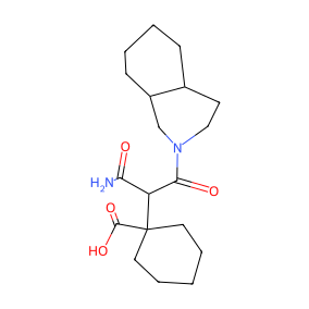 NC(=O)C(C(=O)N1CCC2CCCCC2C1)C1(C(=O)O)CCCCC1